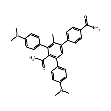 Cc1c(-c2ccc(C(N)=O)cc2)cc(-c2ccc(N(C)C)cc2)c(C(N)=O)c1-c1ccc(N(C)C)cc1